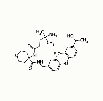 CC(O)c1ccc(Oc2ccc(CNC(=O)C3(NC(=O)CCC(C)(C)N)CCOCC3)cc2)c(C(F)(F)F)c1